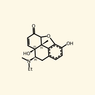 CCN(C)[C@@H]1Cc2ccc(O)c3c2[C@@]2(C)C(O3)C(=O)C=C[C@@]12O